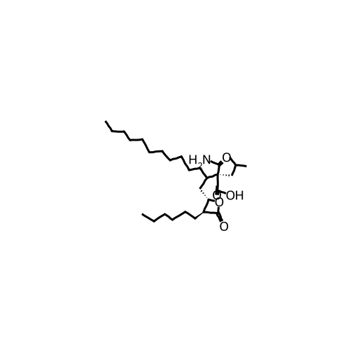 CCCCCCCCCCCC(C[C@@H]1OC(=O)[C@H]1CCCCCC)[C@@](CC(C)C)(C(N)=O)C(=O)O